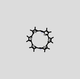 CC1=C(C)/C2=C/c3[nH]c(c(C)c3C)C3=NC(=C(C)C3C)C3N=C(/C=C4\NC(C5=NC(C1=N2)C(C)=C5C)C(C)=C4C)C(C)=C3C